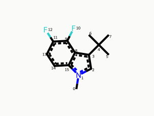 Cn1cc(C(C)(C)C)c2c(F)c(F)ccc21